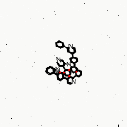 N#Cc1ccccc1-c1c(-n2c3ccccc3c3ccc(-c4ccnc(-c5ccccc5)c4)cc32)cncc1-n1c2ccccc2c2ccc(-c3ccnc(-c4ccccc4)c3)cc21